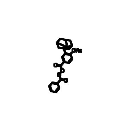 CC(=O)Oc1ccc(C(=O)OOC(=O)c2ccccc2)cc1C12CC3CC(CC(C3)C1)C2